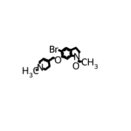 CC(=O)N1CCc2cc(Br)c(OCC3=CCN(C)CC3)cc21